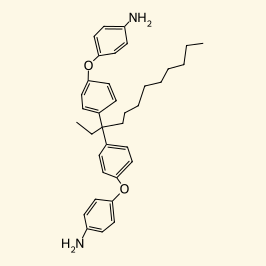 CCCCCCCCCC(CC)(c1ccc(Oc2ccc(N)cc2)cc1)c1ccc(Oc2ccc(N)cc2)cc1